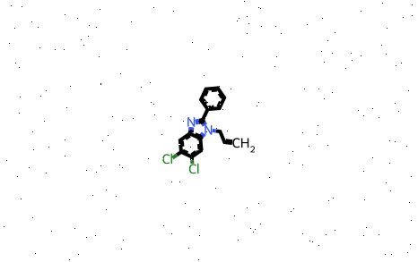 C=CCn1c(-c2ccccc2)nc2cc(Cl)c(Cl)cc21